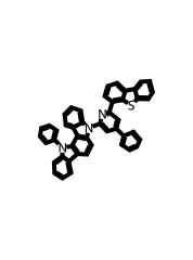 c1ccc(-c2cc(-c3cccc4c3sc3ccccc34)nc(-n3c4ccccc4c4c3ccc3c5ccccc5n(-c5ccccc5)c34)c2)cc1